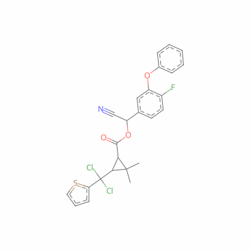 CC1(C)C(C(=O)OC(C#N)c2ccc(F)c(Oc3ccccc3)c2)C1C(Cl)(Cl)c1cccs1